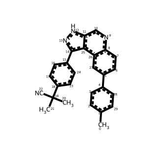 Cc1ccc(-c2ccc3ncc4[nH]nc(-c5ccc(C(C)(C)C#N)cc5)c4c3c2)cc1